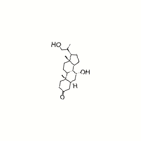 CC(CO)[C@H]1CCC2C3C(CC[C@@]21C)[C@@]1(C)CCC(=O)C[C@@H]1C[C@H]3O